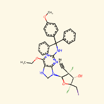 C#C[C@]1(F)[C@H](N2CNc3c(OCC)nc(NC(c4ccccc4)(c4ccccc4)c4ccc(OC)cc4)nc32)O[C@](F)(CI)[C@H]1O